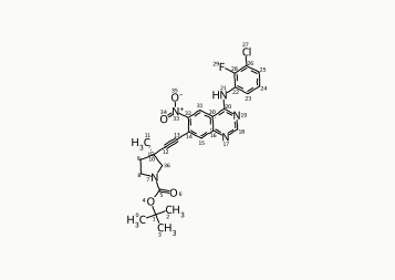 CC(C)(C)OC(=O)N1CC[C@@](C)(C#Cc2cc3ncnc(Nc4cccc(Cl)c4F)c3cc2[N+](=O)[O-])C1